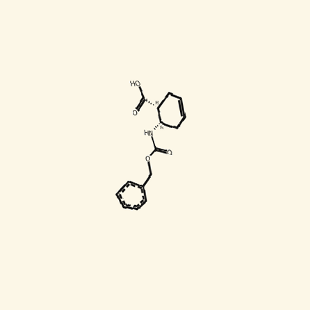 O=C(N[C@H]1CC=CC[C@H]1C(=O)O)OCc1ccccc1